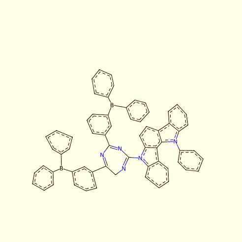 c1ccc(B(c2ccccc2)c2cccc(C3=NC(c4cccc(B(c5ccccc5)c5ccccc5)c4)=NC(n4c5ccccc5c5c4ccc4c6ccccc6n(-c6ccccc6)c45)=NC3)c2)cc1